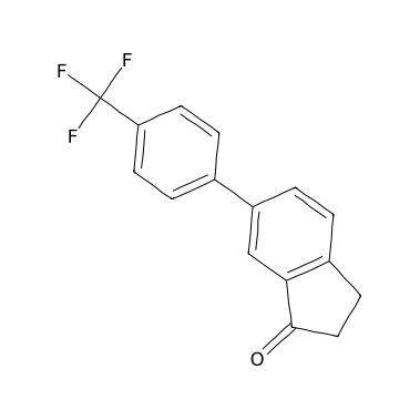 O=C1CCc2ccc(-c3ccc(C(F)(F)F)cc3)cc21